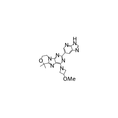 COC1CN(c2nc(-c3cnc4[nH]cnc4c3)nc3c2nc2n3CCOC2(C)C)C1